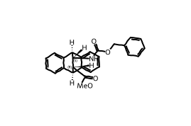 COC(=O)[C@@H]1[C@H]2c3ccccc3[C@H](c3ccccc32)[C@@H]1NC(=O)OCc1ccccc1